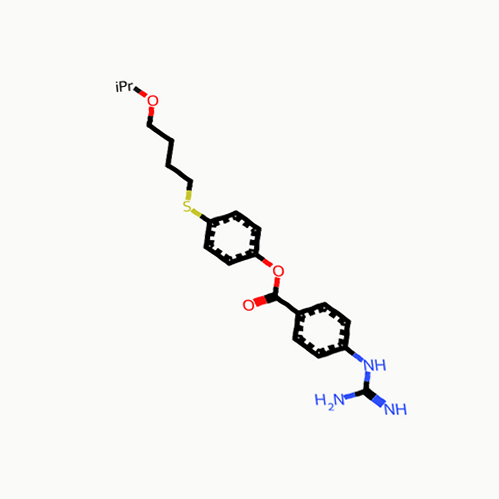 CC(C)OCCCCSc1ccc(OC(=O)c2ccc(NC(=N)N)cc2)cc1